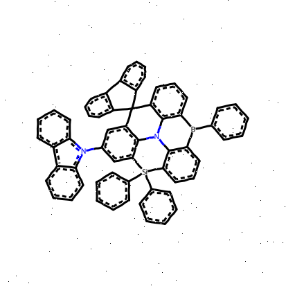 c1ccc(B2c3cccc4c3N3c5c2cccc5[Si](c2ccccc2)(c2ccccc2)c2cc(-n5c6ccccc6c6ccccc65)cc(c23)C42c3ccccc3-c3ccccc32)cc1